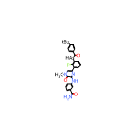 Cn1cc(-c2cccc([AsH]C(=O)c3ccc(C(C)(C)C)cc3)c2F)nc(Nc2cccc(C(N)=O)c2)c1=O